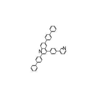 c1ccc(-c2ccc(-c3ccc4nc(-c5ccc(-c6ccccc6)cc5)cc(-c5ccc(-c6cccnc6)cc5)c4c3)cc2)cc1